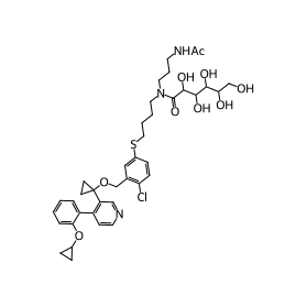 CC(=O)NCCCN(CCCCSc1ccc(Cl)c(COC2(c3cnccc3-c3ccccc3OC3CC3)CC2)c1)C(=O)C(O)C(O)C(O)C(O)CO